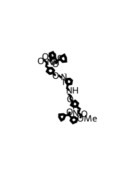 COC(=O)C(Cc1ccc(OCCNCc2cccc(N(C)CCOc3ccc(CC(Nc4ccccc4C(=O)c4ccccc4)C(=O)OC)cc3)n2)cc1)Nc1ccccc1C(=O)c1ccccc1